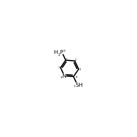 Pc1ccc(S)nc1